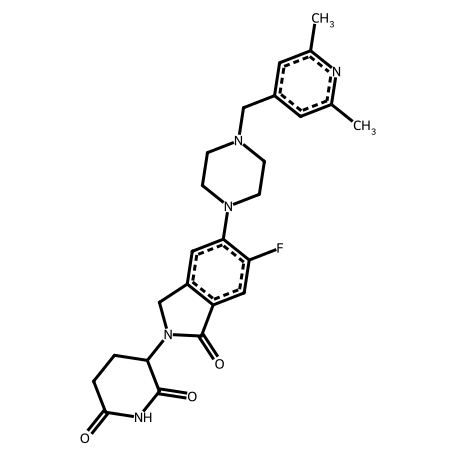 Cc1cc(CN2CCN(c3cc4c(cc3F)C(=O)N(C3CCC(=O)NC3=O)C4)CC2)cc(C)n1